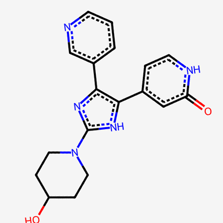 O=c1cc(-c2[nH]c(N3CCC(O)CC3)nc2-c2cccnc2)cc[nH]1